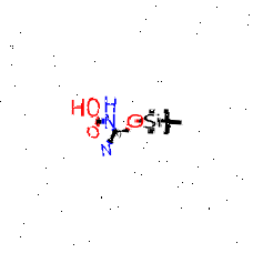 CC(C)(C)[Si](C)(C)OC[C@@H](C#N)NC(=O)O